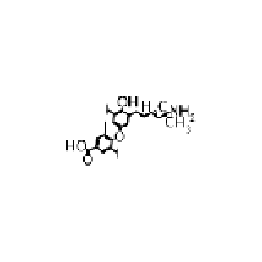 CC(C)(N)CCCCc1cc(Oc2c(I)cc(C(=O)O)cc2I)cc(I)c1O